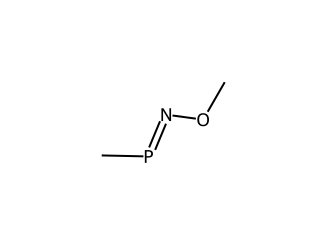 CON=PC